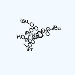 CCC(C)COC(=O)Oc1ccc(C[C@](NC(C)C)(OC(=O)OC(C)C(C)C)C(=O)O)cc1OC(=O)OCC(C)CC